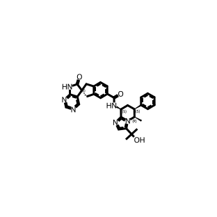 C[C@@H]1[C@H](c2ccccc2)C[C@H](NC(=O)c2ccc3c(c2)C[C@@]2(C3)C(=O)Nc3ncncc32)c2ncc(C(C)(C)O)n21